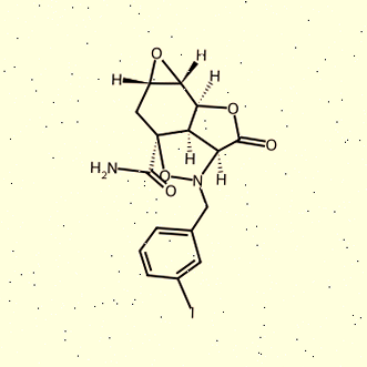 NC(=O)[C@]12C[C@@H]3O[C@@H]3[C@H]3OC(=O)[C@H]([C@H]31)N(Cc1cccc(I)c1)O2